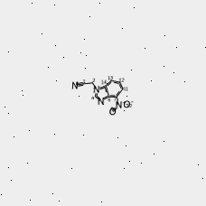 N#CCn1cnc2c([N+](=O)[O-])cccc21